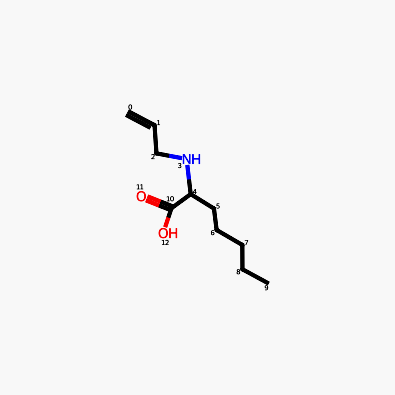 C=CCNC(CCCCC)C(=O)O